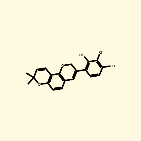 CC1(C)C=Cc2c(ccc3c2OCC(c2ccc(O)c(Cl)c2O)=C3)O1